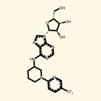 OC[C@H]1O[C@@H](n2cnc3c(NC4CCCN(c5ccc(C(F)(F)F)cn5)C4)ncnc32)[C@H](O)[C@@H]1O